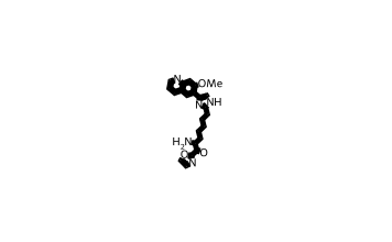 COc1cc2ncccc2cc1-c1c[nH]c(CCCCCC(N)C(=O)c2ncco2)n1